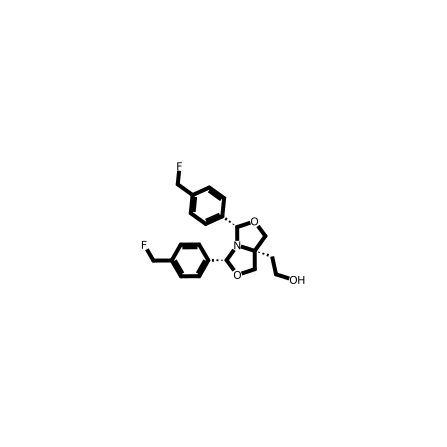 OCC[C@]12CO[C@H](c3ccc(CF)cc3)N1[C@H](c1ccc(CF)cc1)OC2